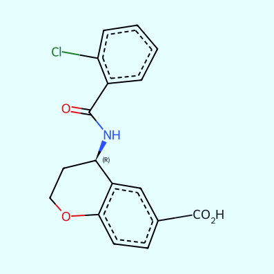 O=C(O)c1ccc2c(c1)[C@H](NC(=O)c1ccccc1Cl)CCO2